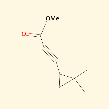 COC(=O)C#CC1CC1(C)C